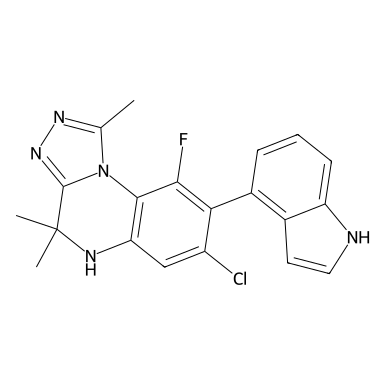 Cc1nnc2n1-c1c(cc(Cl)c(-c3cccc4[nH]ccc34)c1F)NC2(C)C